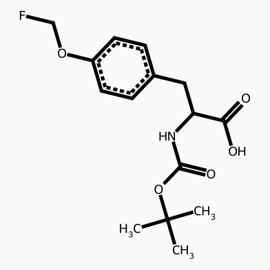 CC(C)(C)OC(=O)NC(Cc1ccc(OCF)cc1)C(=O)O